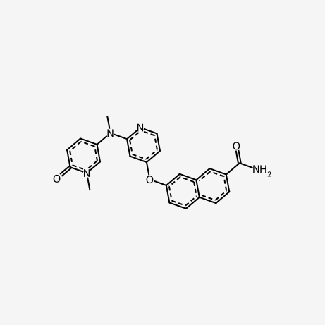 CN(c1ccc(=O)n(C)c1)c1cc(Oc2ccc3ccc(C(N)=O)cc3c2)ccn1